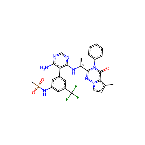 Cc1ccn2nc([C@H](C)Nc3ncnc(N)c3-c3cc(NS(C)(=O)=O)cc(C(F)(F)F)c3)n(-c3ccccc3)c(=O)c12